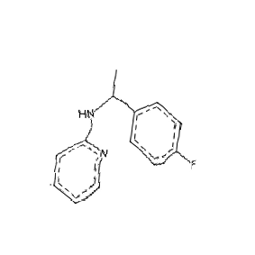 CC(Nc1c[c]ccn1)c1ccc(F)cc1